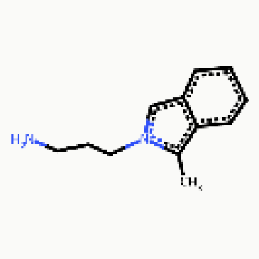 Cc1c2ccccc2cn1CCCN